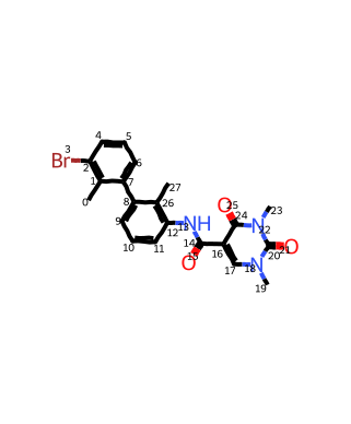 Cc1c(Br)cccc1-c1cccc(NC(=O)c2cn(C)c(=O)n(C)c2=O)c1C